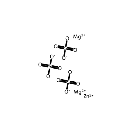 O=S(=O)([O-])[O-].O=S(=O)([O-])[O-].O=S(=O)([O-])[O-].[Mg+2].[Mg+2].[Zn+2]